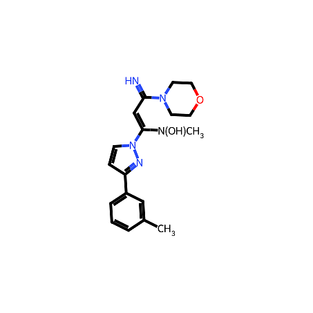 Cc1cccc(-c2ccn(/C(=C/C(=N)N3CCOCC3)N(C)O)n2)c1